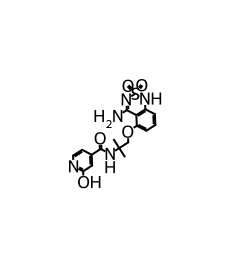 CC(C)(COc1cccc2c1C(N)=NS(=O)(=O)N2)NC(=O)c1ccnc(O)c1